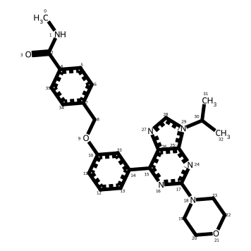 CNC(=O)c1ccc(COc2cccc(-c3nc(N4CCOCC4)nc4c3ncn4C(C)C)c2)cc1